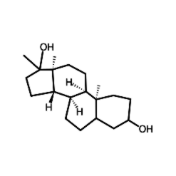 CC1(O)CC[C@H]2[C@@H]3CCC4CC(O)CC[C@]4(C)[C@@H]3CC[C@@]21C